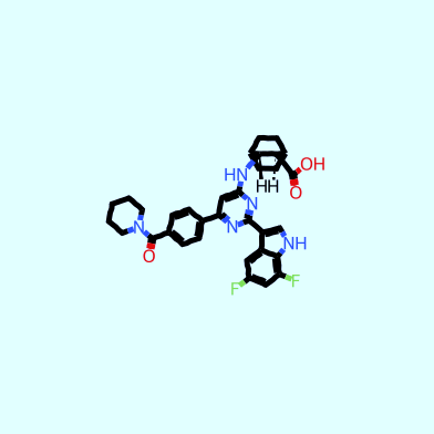 O=C(O)[C@@H]1C2CCC(CC2)[C@H]1Nc1cc(-c2ccc(C(=O)N3CCCCC3)cc2)nc(-c2c[nH]c3c(F)cc(F)cc23)n1